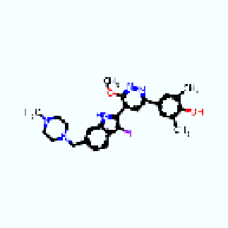 COc1nnc(-c2cc(C)c(O)c(C)c2)cc1-c1[nH]c2cc(CN3CCN(C)CC3)ccc2c1I